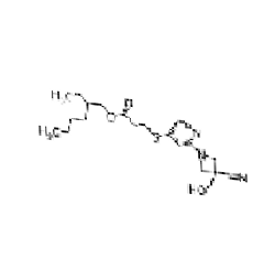 CCCCC(CC)COC(=O)CCSc1ccnc(N2CC(C#N)(CO)C2)c1